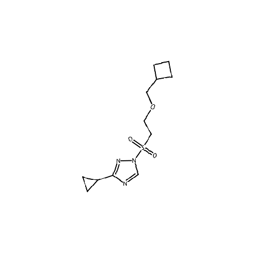 O=S(=O)(CCOCC1CCC1)n1cnc(C2CC2)n1